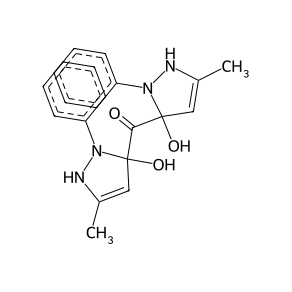 CC1=CC(O)(C(=O)C2(O)C=C(C)NN2c2ccccc2)N(c2ccccc2)N1